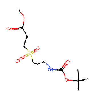 COC(=O)CCS(=O)(=O)CCNC(=O)OC(C)(C)C